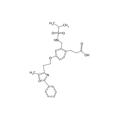 Cc1oc(-c2ccccc2)nc1CCOc1ccc(CCC(=O)O)c(CNS(=O)(=O)C(C)C)c1